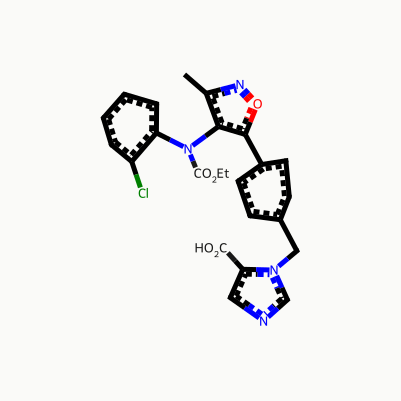 CCOC(=O)N(c1ccccc1Cl)c1c(C)noc1-c1ccc(Cn2cncc2C(=O)O)cc1